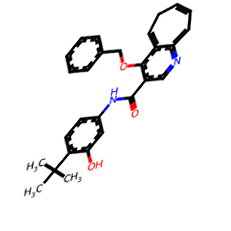 CC(C)(C)c1ccc(NC(=O)c2cnc3c(c2OCc2ccccc2)=CCC=CC=3)cc1O